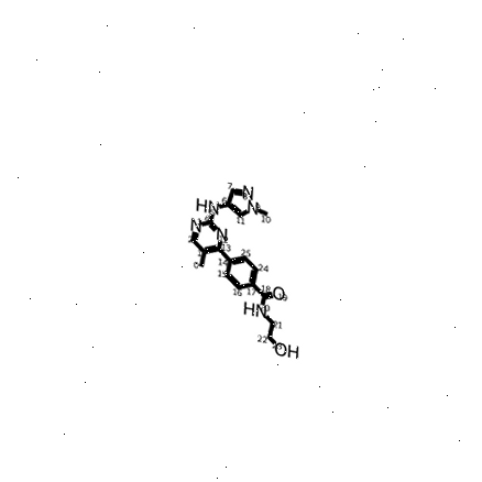 Cc1cnc(Nc2cnn(C)c2)nc1-c1ccc(C(=O)NCCO)cc1